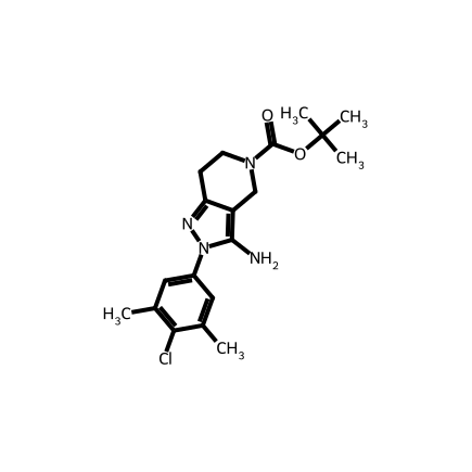 Cc1cc(-n2nc3c(c2N)CN(C(=O)OC(C)(C)C)CC3)cc(C)c1Cl